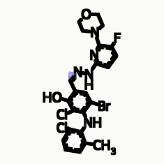 Cc1cccc(Cl)c1Nc1c(Br)cc(/C=N\Nc2ccc(F)c(N3CCOCC3)n2)c(O)c1Cl